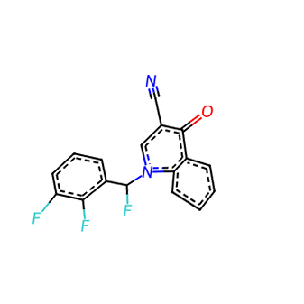 N#Cc1cn(C(F)c2cccc(F)c2F)c2ccccc2c1=O